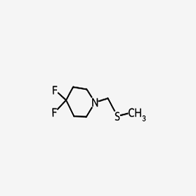 CSCN1CCC(F)(F)CC1